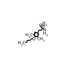 CCCCCOc1c(C)cc(CC[C@@](C)(N)CO)cc1C